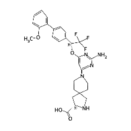 COc1ccccc1-c1ccc([C@@H](Oc2cc(N3CCC4(CC3)CN[C@H](C(=O)O)C4)nc(N)n2)C(F)(F)F)cc1